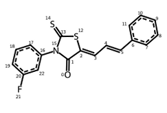 O=C1C(=CC=Cc2ccccc2)SC(=S)N1c1cccc(F)c1